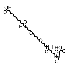 O=[C][C@H](CCC(=O)O)NC(=O)CCC(=O)NCCCOCCCCOCCCNC(=O)CCCCCCCCC(=O)O